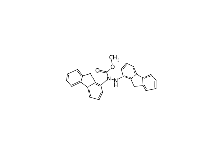 COC(=O)N(Nc1cccc2c1Cc1ccccc1-2)c1cccc2c1Cc1ccccc1-2